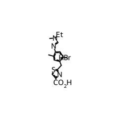 Br.CCN(C)/C=N/c1cc(C)c(Cc2nc(C(=O)O)cs2)cc1C